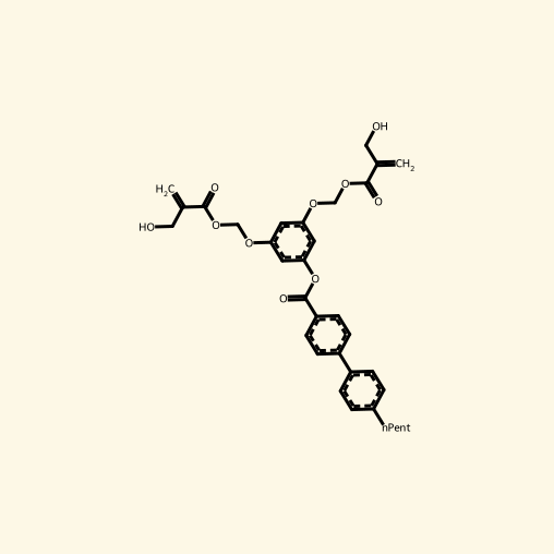 C=C(CO)C(=O)OCOc1cc(OCOC(=O)C(=C)CO)cc(OC(=O)c2ccc(-c3ccc(CCCCC)cc3)cc2)c1